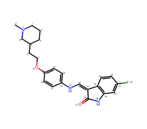 CN1CCCC(CCOc2ccc(NC=C3C(=O)Nc4cc(F)ccc43)cc2)C1